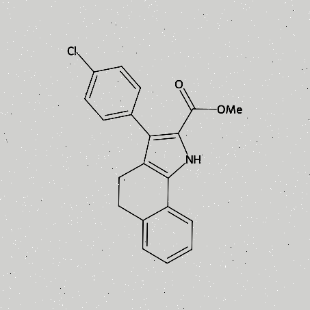 COC(=O)c1[nH]c2c(c1-c1ccc(Cl)cc1)CCc1ccccc1-2